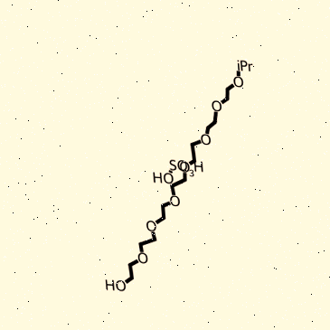 CC(C)OCCOCCOCCOCCOCCOCCOCCO.O=S(=O)(O)O